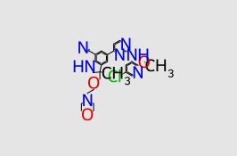 COc1ncc(Cl)cc1Nc1nccc(-c2cc(C#N)c3c(c2)C(C)(COCCN2CCOCC2)CN3)n1